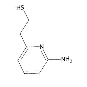 Nc1cccc(CCS)n1